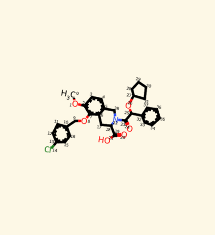 COc1ccc2c(c1OCc1ccc(Cl)cc1)CC(C(=O)O)N(C(=O)C(OC1CCCC1)c1ccccc1)C2